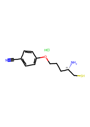 Cl.N#Cc1ccc(OCCC[C@H](N)CS)cc1